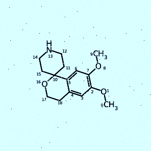 COc1cc2c(cc1OC)C1(CCNCC1)OCC2